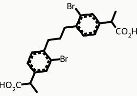 CC(C(=O)O)c1ccc(CCCc2ccc(C(C)C(=O)O)cc2Br)c(Br)c1